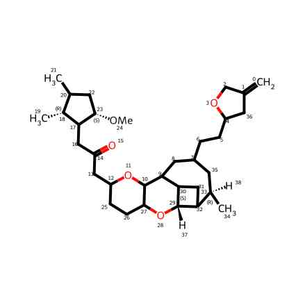 C=C1COC(CCC2CC3C4OC(CC(=O)CC5[C@H](C)C(C)C[C@@H]5OC)CCC4O[C@@H]4C3CC4[C@H](C)C2)C1